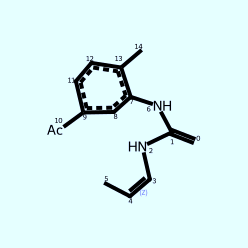 C=C(N/C=C\C)Nc1cc(C(C)=O)ccc1C